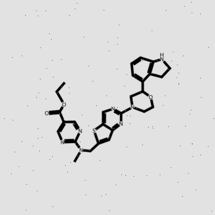 CCOC(=O)c1cnc(N(C)Cc2cc3nc(N4CCOC(c5cccc6c5CCN6)C4)ncc3s2)nc1